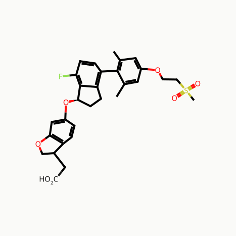 Cc1cc(OCCS(C)(=O)=O)cc(C)c1-c1ccc(F)c2c1CC[C@H]2Oc1ccc2c(c1)OCC2CC(=O)O